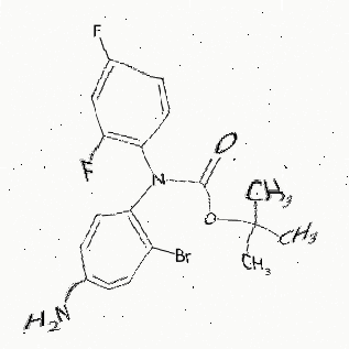 CC(C)(C)OC(=O)N(c1ccc(F)cc1F)c1ccc(N)cc1Br